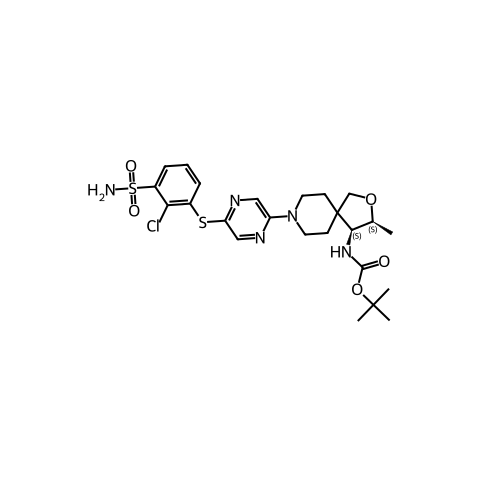 C[C@@H]1OCC2(CCN(c3cnc(Sc4cccc(S(N)(=O)=O)c4Cl)cn3)CC2)[C@@H]1NC(=O)OC(C)(C)C